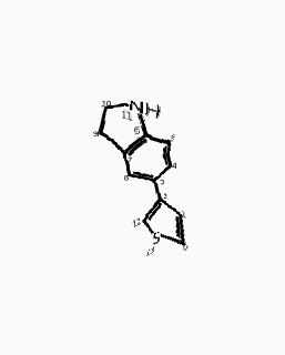 c1cc(-c2ccc3c(c2)CCN3)cs1